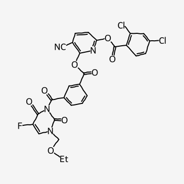 CCOCn1cc(F)c(=O)n(C(=O)c2cccc(C(=O)Oc3nc(OC(=O)c4ccc(Cl)cc4Cl)ccc3C#N)c2)c1=O